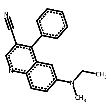 CCN(C)c1ccc2ncc(C#N)c(-c3ccccc3)c2c1